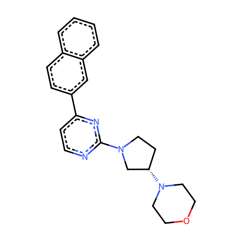 c1ccc2cc(-c3ccnc(N4CC[C@H](N5CCOCC5)C4)n3)ccc2c1